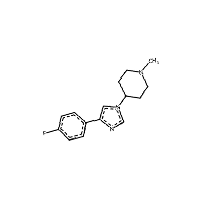 CN1CCC(n2cnc(-c3ccc(F)cc3)c2)CC1